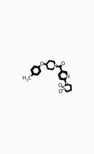 Cc1ccc(OC2CCN(C(=O)c3ccc(N4CCCS4(=O)=O)nc3)CC2)cc1